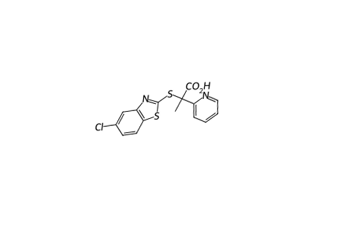 CC(Sc1nc2cc(Cl)ccc2s1)(C(=O)O)c1ccccn1